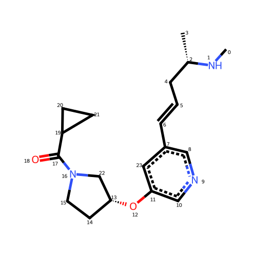 CN[C@@H](C)CC=Cc1cncc(O[C@@H]2CCN(C(=O)C3CC3)C2)c1